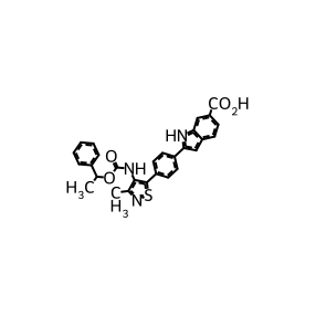 Cc1nsc(-c2ccc(-c3cc4ccc(C(=O)O)cc4[nH]3)cc2)c1NC(=O)OC(C)c1ccccc1